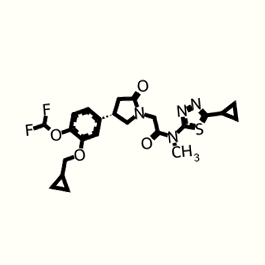 CN(C(=O)CN1C[C@H](c2ccc(OC(F)F)c(OCC3CC3)c2)CC1=O)c1nnc(C2CC2)s1